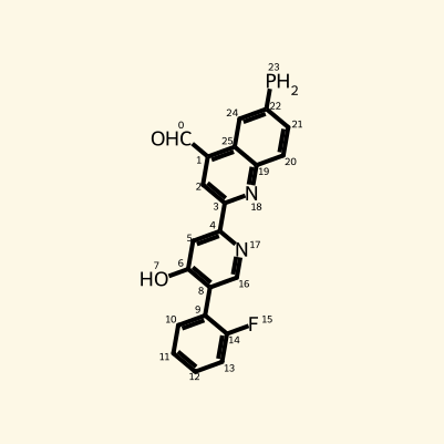 O=Cc1cc(-c2cc(O)c(-c3ccccc3F)cn2)nc2ccc(P)cc12